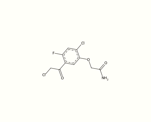 NC(=O)COc1cc(C(=O)CCl)c(F)cc1Cl